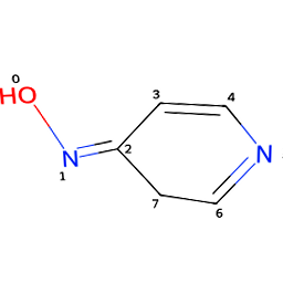 ON=C1C=CN=CC1